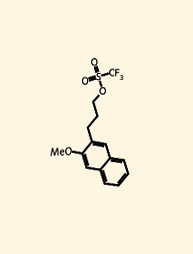 COc1cc2ccccc2cc1CCCOS(=O)(=O)C(F)(F)F